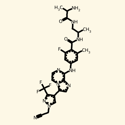 Cc1cc(Nc2nccn3c(-c4cn(CC#N)nc4C(F)(F)F)cnc23)cc(F)c1C(=O)NC(C)CNC(=O)C(C)N